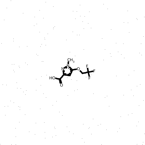 Cn1nc(C(=O)O)cc1OCC(F)(F)F